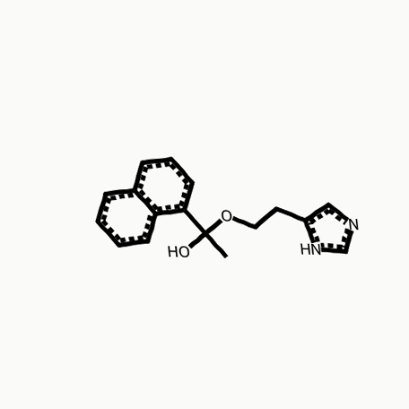 CC(O)(OCCc1cnc[nH]1)c1cccc2ccccc12